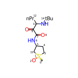 C=S1(=O)CCC(NC(=O)C(=O)C(CCC)NC(C)(C)C)C1